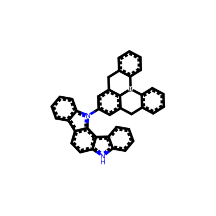 c1ccc2c(c1)Cc1cc(-n3c4ccccc4c4ccc5[nH]c6ccccc6c5c43)cc3c1B2c1ccccc1C3